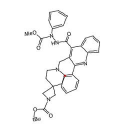 COC(=O)N(NC(=O)c1c(CN2CCC3(CC2)CN(C(=O)OC(C)(C)C)C3)c(-c2ccccc2)nc2ccccc12)c1ccccc1